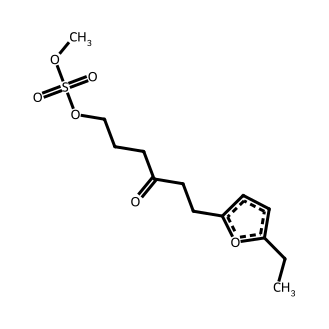 CCc1ccc(CCC(=O)CCCOS(=O)(=O)OC)o1